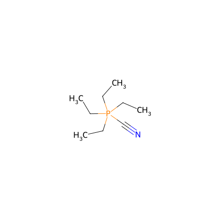 CCP(C#N)(CC)(CC)CC